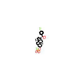 C[C@]12CC[C@H]3[C@@H](CC=C4C=C(OS(=O)(=O)F)CC[C@@]43C)[C@@H]1CC[C@@H]2C(=O)c1ccc(F)cc1